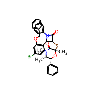 C[C@H]1[C@@H](c2ccccc2)O[C@](C)(S[C@@H]2C(=O)N(c3ccccc3)[C@@H]2c2ccc(Br)cc2OCc2ccccc2)C(=O)N1C